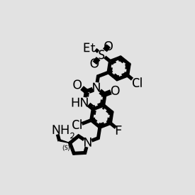 CCS(=O)(=O)c1ccc(Cl)cc1Cn1c(=O)[nH]c2c(Cl)c(CN3CC[C@@H](CN)C3)c(F)cc2c1=O